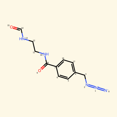 [N-]=[N+]=NCc1ccc(C(=O)NCCNC=O)cc1